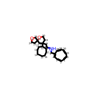 c1ccccc(CNCCC2(C3CCCCCCC3)CCOC3(CCOC3)C2)cccc1